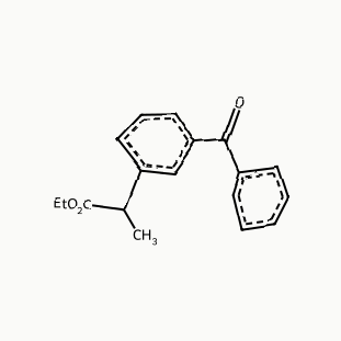 CCOC(=O)C(C)c1cccc(C(=O)c2ccccc2)c1